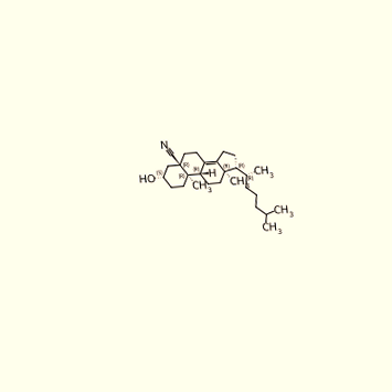 CC(C)CCC[C@@H](C)[C@H]1CCC2=C3CC[C@@]4(C#N)C[C@@H](O)CC[C@]4(C)[C@H]3CC[C@@]21C